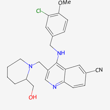 COc1ccc(CNc2c(CN3CCCCC3CO)cnc3ccc(C#N)cc23)cc1Cl